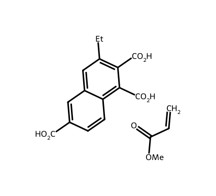 C=CC(=O)OC.CCc1cc2cc(C(=O)O)ccc2c(C(=O)O)c1C(=O)O